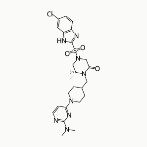 C[C@@H]1CN(S(=O)(=O)c2nc3ccc(Cl)cc3[nH]2)CC(=O)N1CC1CCN(c2ccnc(N(C)C)n2)CC1